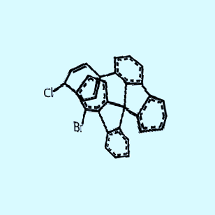 ClC1C=CC(c2cccc3c2C2(c4ccccc4-3)c3ccccc3-c3c(Br)cccc32)=CC1